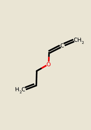 C=C=COCC=C